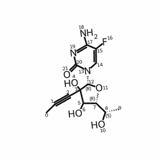 CC#CC1(O)C(O)[C@@H]([C@H](C)O)O[C@H]1n1cc(F)c(N)nc1=O